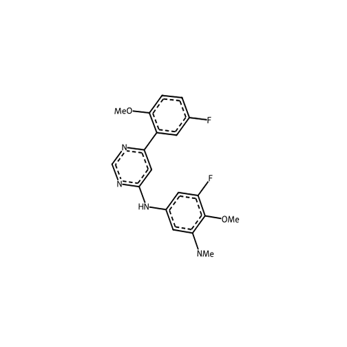 CNc1cc(Nc2cc(-c3cc(F)ccc3OC)ncn2)cc(F)c1OC